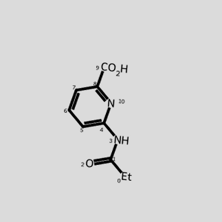 CCC(=O)Nc1cccc(C(=O)O)n1